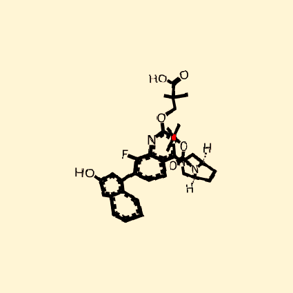 CC(C)(C)OC(=O)N1[C@@H]2CC[C@H]1CN(c1nc(OCC(C)(C)C(=O)O)nc3c(F)c(-c4cc(O)cc5ccccc45)ccc13)C2